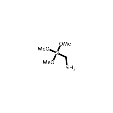 CO[Si](C[SiH3])(OC)OC